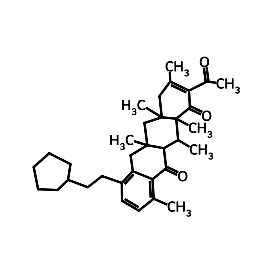 CC(=O)C1=C(C)CC2(C)CC3(C)Cc4c(CCC5CCCCC5)ccc(C)c4C(=O)C3C(C)C2(C)C1=O